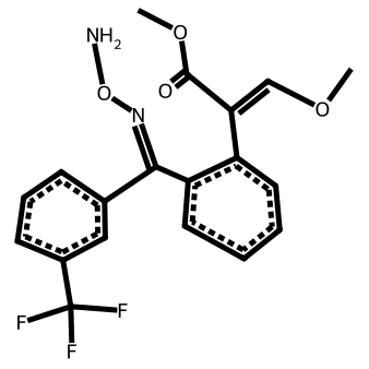 CO/C=C(/C(=O)OC)c1ccccc1C(=NON)c1cccc(C(F)(F)F)c1